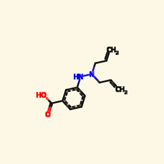 C=CCN(CC=C)Nc1cccc(C(=O)O)c1